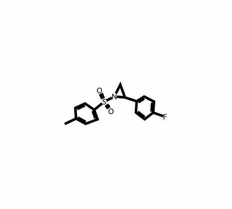 Cc1ccc(S(=O)(=O)N2CC2c2ccc(F)cc2)cc1